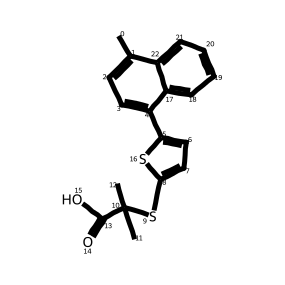 Cc1ccc(-c2ccc(SC(C)(C)C(=O)O)s2)c2ccccc12